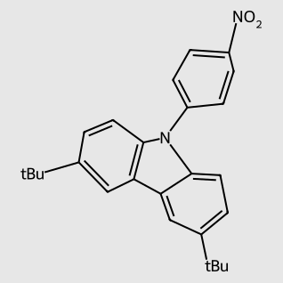 CC(C)(C)c1ccc2c(c1)c1cc(C(C)(C)C)ccc1n2-c1ccc([N+](=O)[O-])cc1